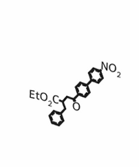 CCOC(=O)C(CC(=O)c1ccc(-c2ccc([N+](=O)[O-])cc2)cc1)Cc1ccccc1